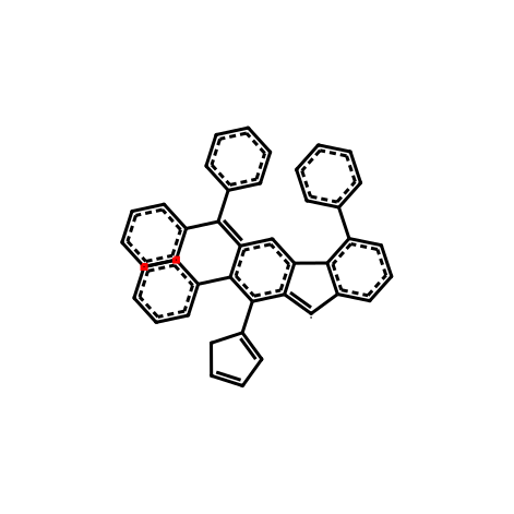 [C]1=c2c(cc(=C(c3ccccc3)c3ccccc3)c(-c3ccccc3)c2C2=CC=CC2)-c2c1cccc2-c1ccccc1